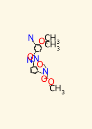 CCOC(=O)CN1CCOc2c(cccc2-c2noc(-c3ccc(OC(C)C)c(C#N)c3)n2)C1